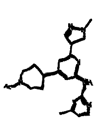 CC(=O)N1CCC(c2cc(Nc3cc(C)ccn3)nc(-c3cnn(C)c3)c2)CC1